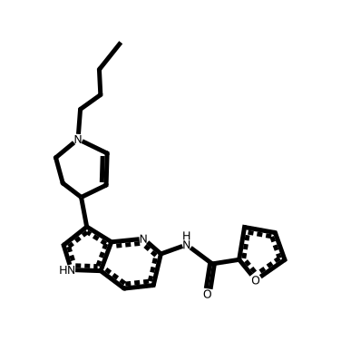 CCCCN1C=CC(c2c[nH]c3ccc(NC(=O)c4ccco4)nc23)CC1